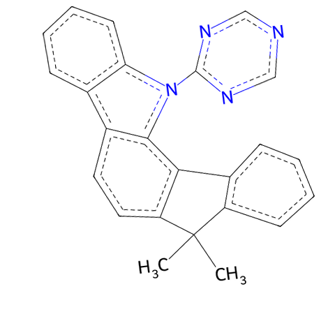 CC1(C)c2ccccc2-c2c1ccc1c3ccccc3n(-c3ncncn3)c21